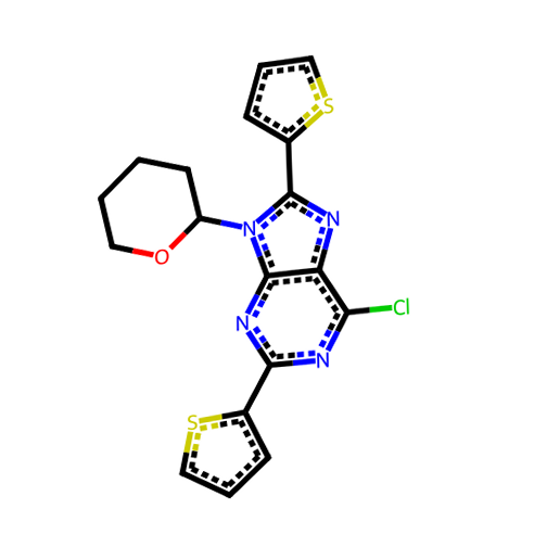 Clc1nc(-c2cccs2)nc2c1nc(-c1cccs1)n2C1CCCCO1